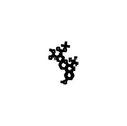 COC(=O)[C@@H]1C[C@]2(CCc3c(c(C(F)(F)F)nc4ccc(OC)cc34)O2)CN1C(=O)OC(C)(C)C